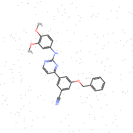 COc1ccc(Nc2nccc(-c3cc(C#N)cc(OCc4ccccc4)c3)n2)cc1OC